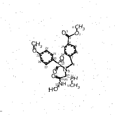 COC(=O)c1ccc(CN([C@H](PC)C(=O)NO)S(=O)(=O)c2ccc(OC)cc2)cc1